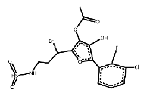 CC(=O)Oc1c(C(Br)CCN[SH](=O)=O)oc(-c2cccc(Cl)c2F)c1O